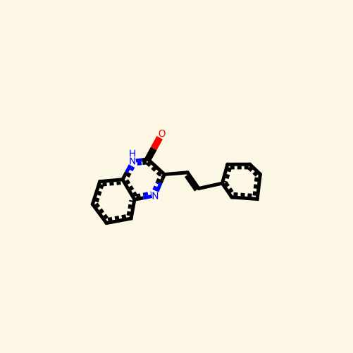 O=c1[nH]c2ccccc2nc1C=Cc1ccccc1